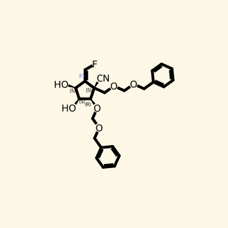 N#C[C@]1(COCOCc2ccccc2)/C(=C\F)[C@H](O)[C@H](O)[C@@H]1OCOCc1ccccc1